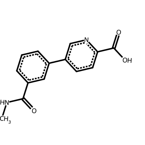 CNC(=O)c1cccc(-c2ccc(C(=O)O)nc2)c1